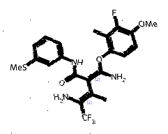 COc1ccc(O/C(N)=C(C(=O)Nc2cccc(SC)c2)/C(C)=C(\N)C(F)(F)F)c(C)c1F